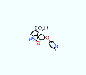 Cc1ccc(OC2CCC3(CC2)C(=O)Nc2ccc(C(=O)O)cc23)cn1